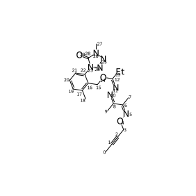 CC#CCO\N=C(C)/C(C)=N\N=C(\CC)OCc1c(C)cccc1-n1nnn(C)c1=O